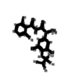 CN(C(=O)NC(=O)c1c(F)cccc1F)c1cc(Cl)c(SC(F)(F)C(F)F)c(Cl)c1